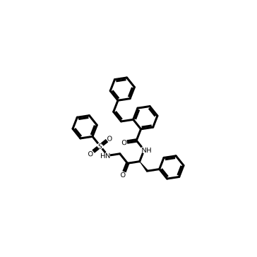 O=C(N[C@@H](Cc1ccccc1)C(=O)CNS(=O)(=O)c1ccccc1)c1ccccc1C=Cc1ccccc1